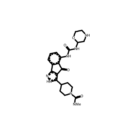 CNC(=O)N1CCC(c2[nH]nc3c2C(=O)c2c(NC(=O)NC4CNCCO4)cccc2-3)CC1